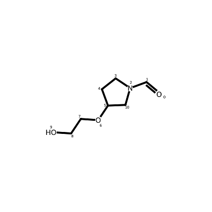 O=CN1CCC(OCCO)C1